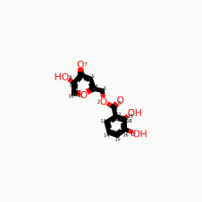 O=C(OCc1cc(=O)c(O)co1)c1cccc(O)c1O